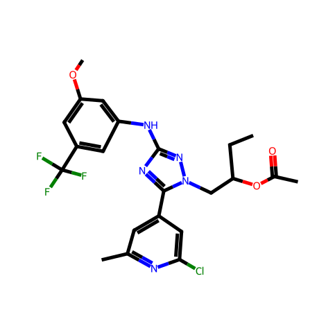 CCC(Cn1nc(Nc2cc(OC)cc(C(F)(F)F)c2)nc1-c1cc(C)nc(Cl)c1)OC(C)=O